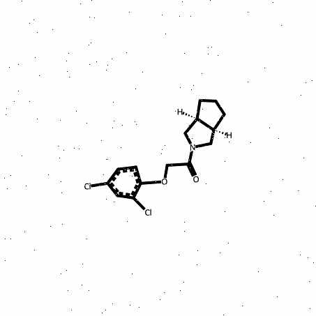 O=C(COc1ccc(Cl)cc1Cl)N1C[C@H]2CCC[C@H]2C1